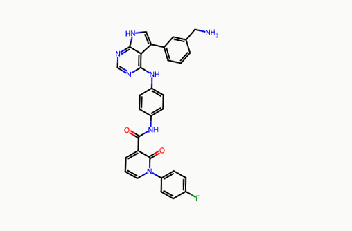 NCc1cccc(-c2c[nH]c3ncnc(Nc4ccc(NC(=O)c5cccn(-c6ccc(F)cc6)c5=O)cc4)c23)c1